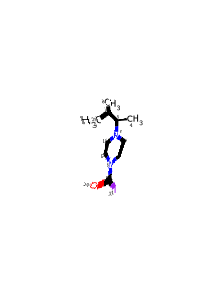 CC(C)[C@@H](C)N1CCN(C(=O)I)CC1